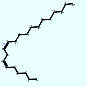 CCCCC/C=C\C/C=C\CCCCCCCCCCC